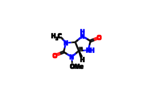 CON1C(=O)N(C)C2NC(=O)N[C@@H]21